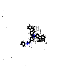 CC1(C)c2ccccc2-c2ccc(N(c3ccc(/C=N/Nc4ccccc4)cc3)c3ccc4c(c3)C(C)(C)c3ccccc3-4)cc21